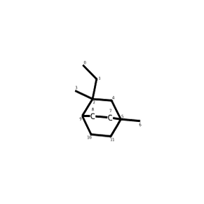 CCC1(C)CC2(C)CCC1CC2